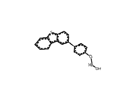 OBOc1ccc(-c2ccc3sc4ccccc4c3c2)cc1